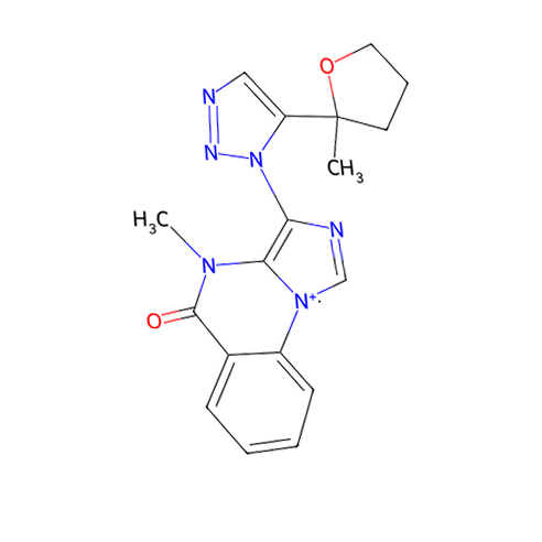 CN1C(=O)c2ccccc2[N+]2C=NC(n3nncc3C3(C)CCCO3)=C12